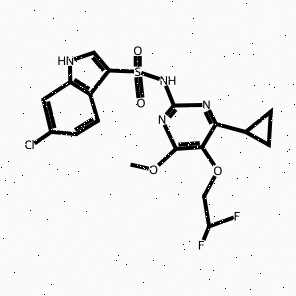 COc1nc(NS(=O)(=O)c2c[nH]c3cc(Cl)ccc23)nc(C2CC2)c1OCC(F)F